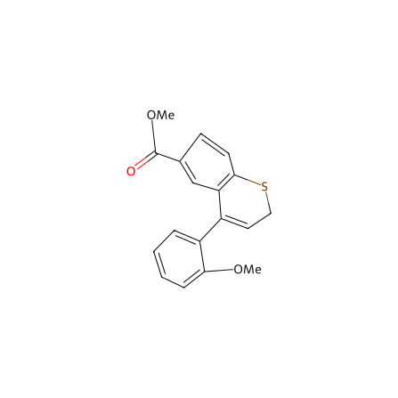 COC(=O)c1ccc2c(c1)C(c1ccccc1OC)=CCS2